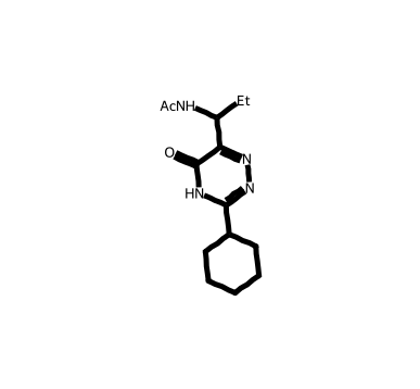 CCC(NC(C)=O)c1nnc(C2CCCCC2)[nH]c1=O